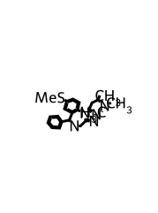 CSc1ccc2c(c1)C(c1ccccc1)=NCc1nnc(CC(C)N(C)C)n1-2